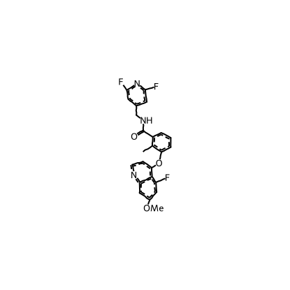 COc1cc(F)c2c(Oc3cccc(C(=O)NCc4cc(F)nc(F)c4)c3C)ccnc2c1